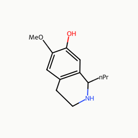 CCCC1NCCc2cc(OC)c(O)cc21